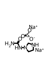 NC(=O)NN1CCNC1.O=S([O-])[O-].[Na+].[Na+]